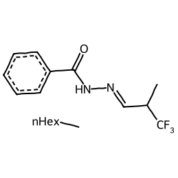 CC(/C=N/NC(=O)c1ccccc1)C(F)(F)F.CCCCCCC